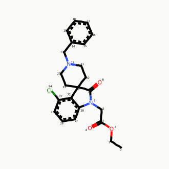 CCOC(=O)CN1C(=O)C2(CCN(Cc3ccccc3)CC2)c2c(Cl)cccc21